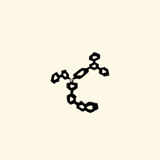 c1ccc(-c2cc(-c3ccccc3)cc(-c3ccc(N(c4ccc(-c5cccc(-c6ccc7ccccc7c6)c5)cc4)c4cccc(-c5ccccc5)c4)cc3)c2)cc1